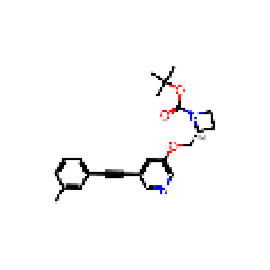 Cc1cccc(C#Cc2cncc(OC[C@@H]3CCN3C(=O)OC(C)(C)C)c2)c1